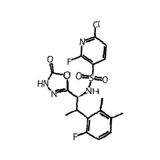 Cc1ccc(F)c(C(C)[C@H](NS(=O)(=O)c2ccc(Cl)nc2F)c2n[nH]c(=O)o2)c1C